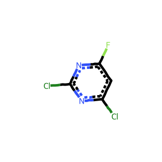 Fc1cc(Cl)nc(Cl)n1